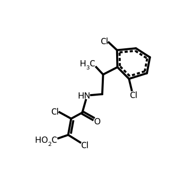 CC(CNC(=O)C(Cl)=C(Cl)C(=O)O)c1c(Cl)cccc1Cl